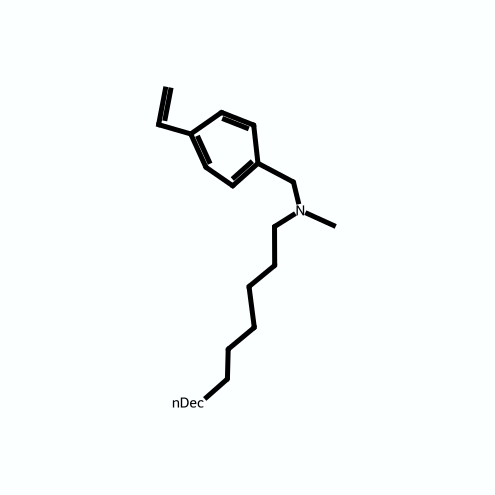 C=Cc1ccc(CN(C)CCCCCCCCCCCCCCCC)cc1